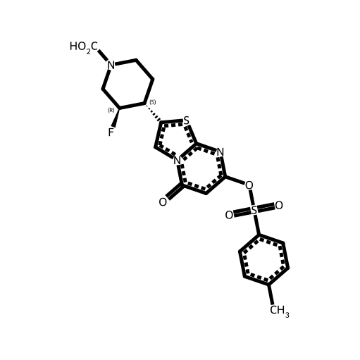 Cc1ccc(S(=O)(=O)Oc2cc(=O)n3cc([C@H]4CCN(C(=O)O)C[C@@H]4F)sc3n2)cc1